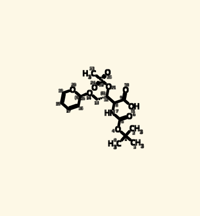 CC(C)(C)OC(=O)NC(C(=O)O)[C@H](CO[C@H]1C=CC=CO1)OS(C)(=O)=O